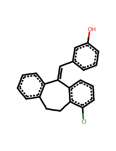 Oc1cccc(C=C2c3ccccc3CCc3c(Cl)cccc32)c1